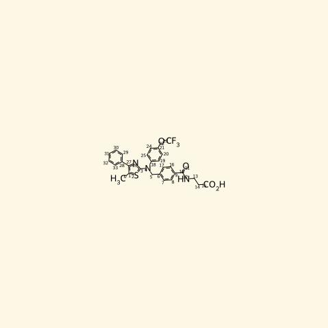 Cc1sc(N(Cc2ccc(C(=O)NCCC(=O)O)cc2)c2ccc(OC(F)(F)F)cc2)nc1-c1ccccc1